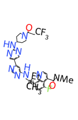 CC[C@@](C)(CNc1cc(-c2cnc(NC3CCN(C(=O)CC(F)(F)F)CC3)nc2)ncn1)c1ccc(F)c2c(C(=O)NC)ccnc12